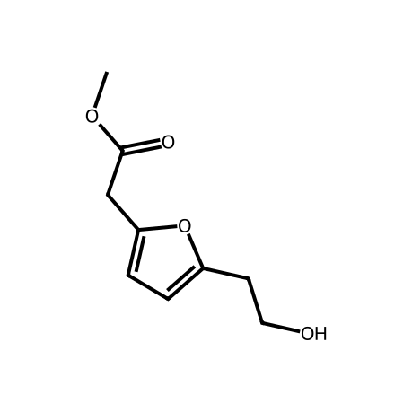 COC(=O)Cc1ccc(CCO)o1